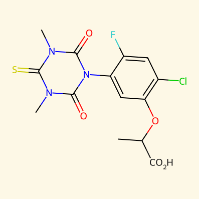 CC(Oc1cc(-n2c(=O)n(C)c(=S)n(C)c2=O)c(F)cc1Cl)C(=O)O